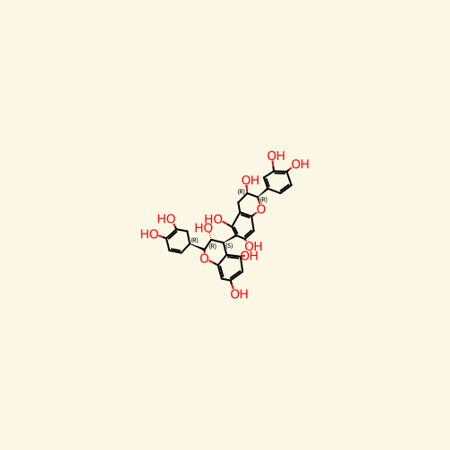 OC1=C(O)C[C@@H](C2Oc3cc(O)cc(O)c3[C@H](c3c(O)cc4c(c3O)C[C@@H](O)[C@@H](c3ccc(O)c(O)c3)O4)[C@H]2O)C=C1